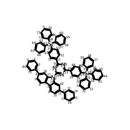 c1ccc(-c2ccc3c4ccc(-c5ccccc5)cc4n(-c4nc(-c5ccc([Si](c6ccccc6)(c6ccccc6)c6ccccc6)cc5)nc(-c5ccc([Si](c6ccccc6)(c6ccccc6)c6ccccc6)cc5)n4)c3c2)cc1